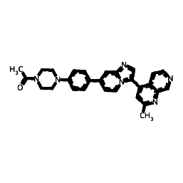 CC(=O)N1CCN(c2ccc(-c3ccn4c(-c5cc(C)nc6cnccc56)cnc4c3)cc2)CC1